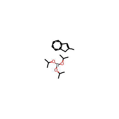 CC(C)[O][Ti]([O]C(C)C)[O]C(C)C.CC1=Cc2ccccc2C1